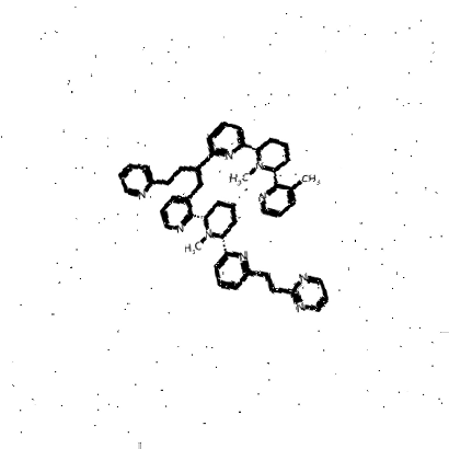 Cc1cccnc1[C@@H]1CCC[C@H](c2cccc(C(CCc3ccccn3)Cc3cccnc3[C@@H]3CCC[C@H](c4cccc(CCc5ncccn5)n4)N3C)n2)N1C